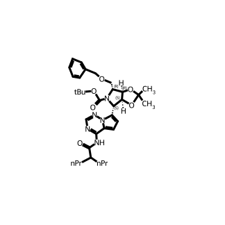 CCCC(CCC)C(=O)Nc1ncnn2c([C@H]3[C@@H]4OC(C)(C)O[C@@H]4[C@@H](COCc4ccccc4)N3C(=O)OC(C)(C)C)ccc12